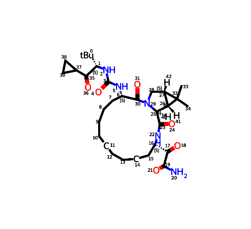 CC(C)(C)[C@H](NC(=O)N[C@H]1CCCCCCCCC[C@@H](C(=O)C(N)=O)NC(=O)[C@@H]2[C@@H]3[C@H](CN2C1=O)C3(C)C)C(=O)C1CC1